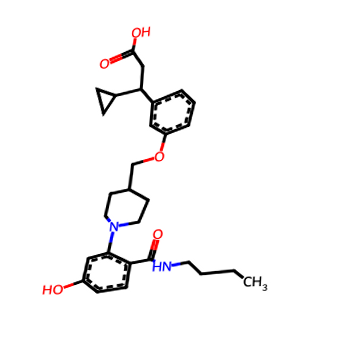 CCCCNC(=O)c1ccc(O)cc1N1CCC(COc2cccc(C(CC(=O)O)C3CC3)c2)CC1